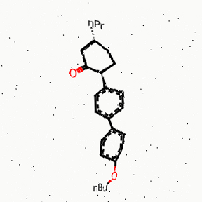 CCCCOc1ccc(-c2ccc([C@@H]3CC[C@@H](CCC)CC3=O)cc2)cc1